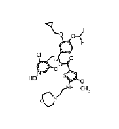 COc1cc(C(=O)O[C@@H](Cc2c(Cl)c[n+](O)cc2Cl)c2ccc(OC(F)F)c(OCC3CC3)c2)sc1NCCN1CCOCC1